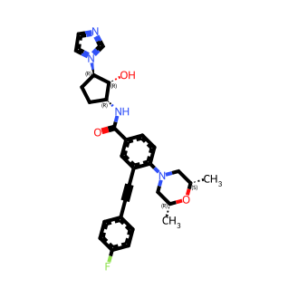 C[C@@H]1CN(c2ccc(C(=O)N[C@@H]3CC[C@@H](n4ccnc4)[C@@H]3O)cc2C#Cc2ccc(F)cc2)C[C@H](C)O1